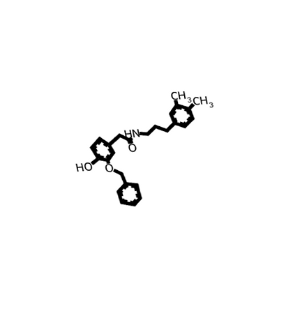 Cc1ccc(CCCNC(=O)Cc2ccc(O)c(OCc3ccccc3)c2)cc1C